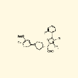 COc1cc(N2CCN(C(C=O)n3nc(-c4ccccc4F)c(Cl)c3C(F)(F)F)CC2)ccc1Cl